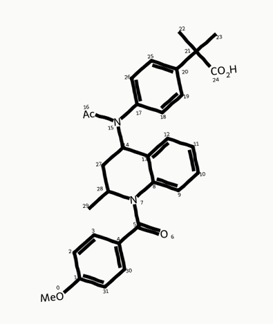 COc1ccc(C(=O)N2c3ccccc3C(N(C(C)=O)c3ccc(C(C)(C)C(=O)O)cc3)CC2C)cc1